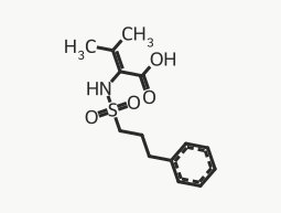 CC(C)=C(NS(=O)(=O)CCCc1ccccc1)C(=O)O